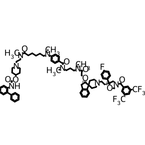 CN(CCN1CCC(OC(=O)Nc2ccccc2-c2ccccc2)CC1)C(=O)CCCCCN(C)c1ccc(C(=O)N(C)CCCN(C)C(=O)CO[C@H]2Cc3ccccc3C23CCN(CC[C@@]2(c4ccc(F)cc4)CN(C(=O)c4cc(C(F)(F)F)cc(C(F)(F)F)c4)CO2)CC3)cc1